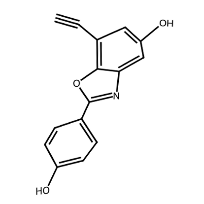 C#Cc1cc(O)cc2nc(-c3ccc(O)cc3)oc12